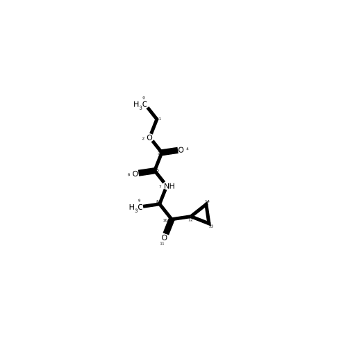 CCOC(=O)C(=O)NC(C)C(=O)C1CC1